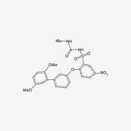 COc1ccc(OC)c(-c2cccc(Oc3ccc([N+](=O)[O-])cc3S(=O)(=O)NC(=O)NC(C)(C)C)c2)c1